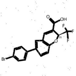 O=C(O)C1=Cc2cc(-c3ccc(Br)cc3)ccc2O[C@@H]1C(F)(F)F